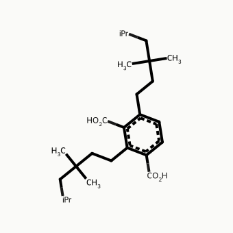 CC(C)CC(C)(C)CCc1ccc(C(=O)O)c(CCC(C)(C)CC(C)C)c1C(=O)O